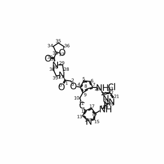 O=C(COc1ccc2cc1CCc1cncc(c1)Nc1ncc(Cl)c(n1)N2)N1CCN(C(=O)C2CCCO2)CC1